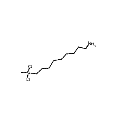 C[Si](Cl)(Cl)CCCCCCCCCN